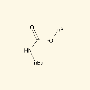 [CH2]CCCNC(=O)OCCC